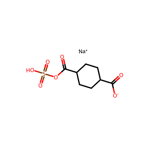 O=C([O-])C1CCC(C(=O)OS(=O)(=O)O)CC1.[Na+]